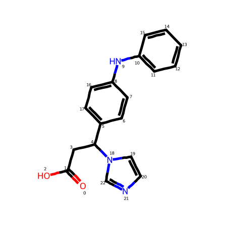 O=C(O)CC(c1ccc(Nc2ccccc2)cc1)n1ccnc1